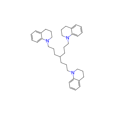 c1ccc2c(c1)CCCN2CCCC(CCCN1CCCc2ccccc21)CCCN1CCCc2ccccc21